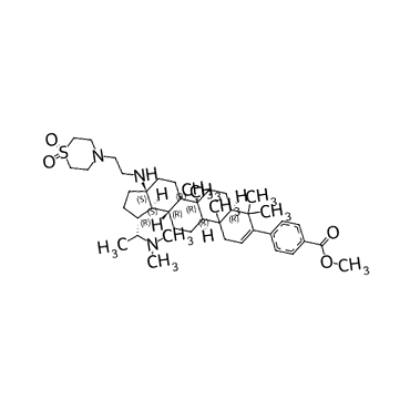 COC(=O)c1ccc(C2=CCC3(C)[C@H]4CC[C@@H]5[C@H]6[C@H](C(C)N(C)C)CC[C@]6(NCCN6CCS(=O)(=O)CC6)CC[C@@]5(C)[C@]4(C)CC[C@H]3C2(C)C)cc1